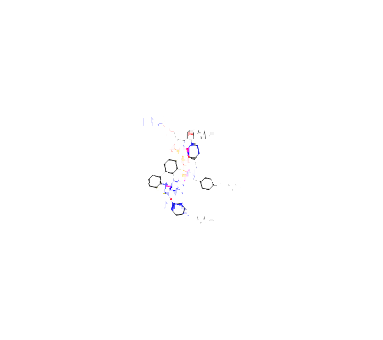 COc1ccc(CN(Cc2ccc(OC)cc2)S(=O)(=O)c2c(S(=O)(=O)NC(C(O)COC(N)=O)C(C)(C)C)ccc(-c3cccc4sc(CN)nc34)c2-c2nnn(Cc3ccc(OC)cc3)n2)cc1